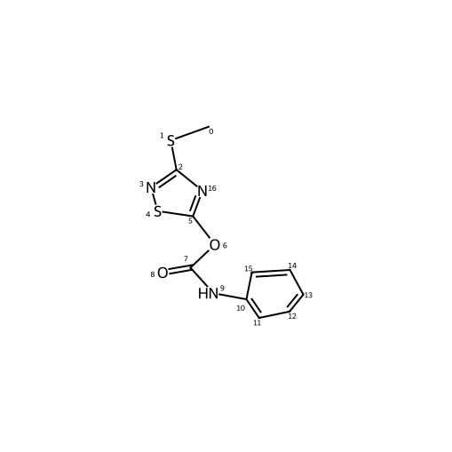 CSc1nsc(OC(=O)Nc2ccccc2)n1